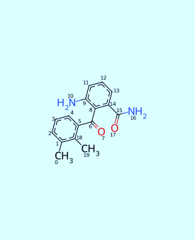 Cc1cccc(C(=O)c2c(N)cccc2C(N)=O)c1C